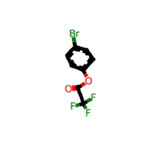 O=C(Oc1ccc(Br)cc1)C(F)(F)F